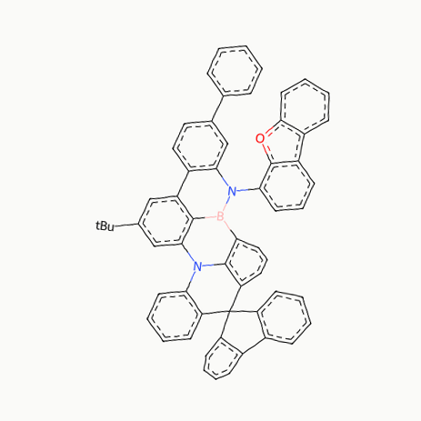 CC(C)(C)c1cc2c3c(c1)N1c4ccccc4C4(c5ccccc5-c5ccccc54)c4cccc(c41)B3N(c1cccc3c1oc1ccccc13)c1cc(-c3ccccc3)ccc1-2